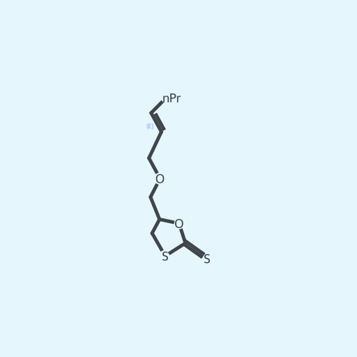 CCC/C=C/COCC1CSC(=S)O1